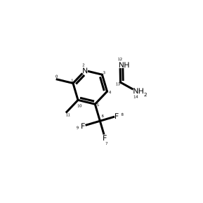 Cc1nccc(C(F)(F)F)c1C.N=CN